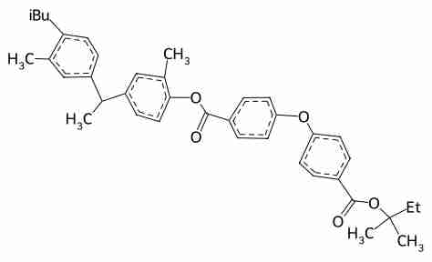 CCC(C)c1ccc(C(C)c2ccc(OC(=O)c3ccc(Oc4ccc(C(=O)OC(C)(C)CC)cc4)cc3)c(C)c2)cc1C